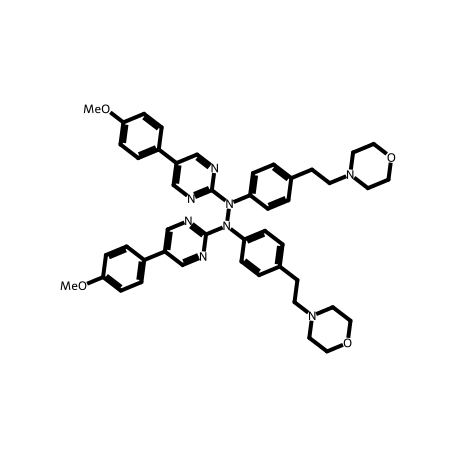 COc1ccc(-c2cnc(N(c3ccc(CCN4CCOCC4)cc3)N(c3ccc(CCN4CCOCC4)cc3)c3ncc(-c4ccc(OC)cc4)cn3)nc2)cc1